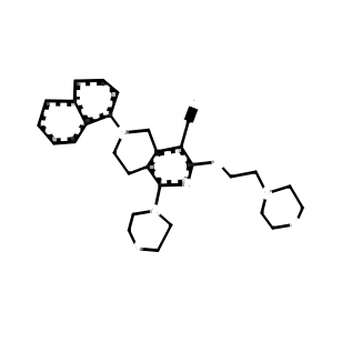 Cl.N#Cc1c(OCCN2CCOCC2)nc(N2CCNCC2)c2c1CN(c1cccc3ccccc13)CC2